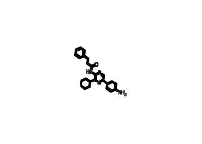 Nc1ccc(-c2cnc(NC(=O)CCc3ccccc3)c(C3CCCCC3)n2)cc1